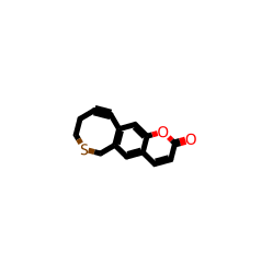 O=c1ccc2cc3c(cc2o1)C#CCCSC3